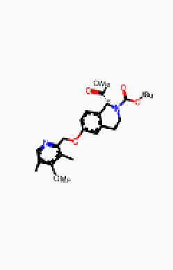 COC(=O)[C@H]1c2ccc(OCc3ncc(C)c(OC)c3C)cc2CCN1C(=O)OC(C)(C)C